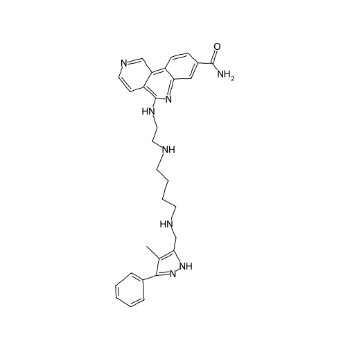 Cc1c(-c2ccccc2)n[nH]c1CNCCCCNCCNc1nc2cc(C(N)=O)ccc2c2cnccc12